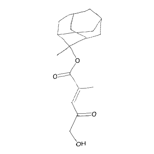 C/C(=C\C(=O)CO)C(=O)OC1(C)C2CC3CC(C2)CC1C3